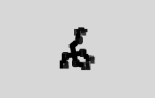 CCCO[CH]C(OCC)(OCC)OCC